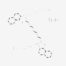 CC1(C)\C(=C/C=C/C=C/C=C/C2N(CCCCS(=O)(=O)O)c3ccc4ccccc4c3C2(C)C)N(CCCCS(=O)(=O)O)c2ccc3ccccc3c21.[NaH]